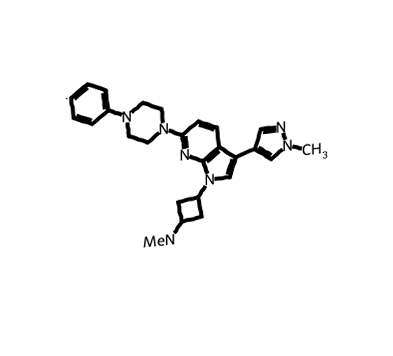 CNC1CC(n2cc(-c3cnn(C)c3)c3ccc(N4CCN(c5cc[c]cc5)CC4)nc32)C1